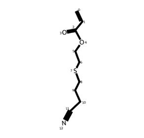 C=CC(=O)OCCSCCCC#N